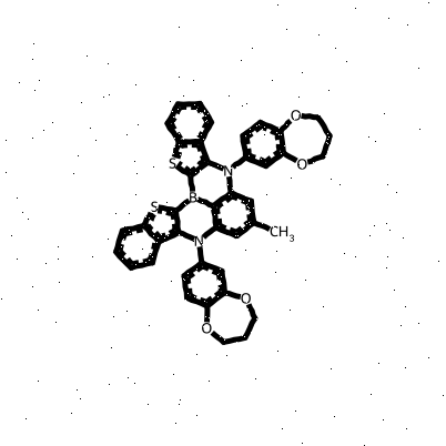 Cc1cc2c3c(c1)N(c1ccc4c(c1)OCCCO4)c1c(sc4ccccc14)B3c1sc3ccccc3c1N2c1ccc2c(c1)OCCCO2